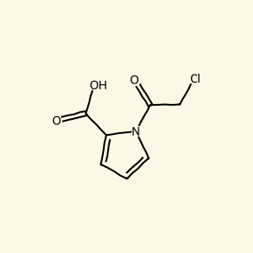 O=C(O)c1cccn1C(=O)CCl